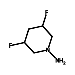 NN1CC(F)CC(F)C1